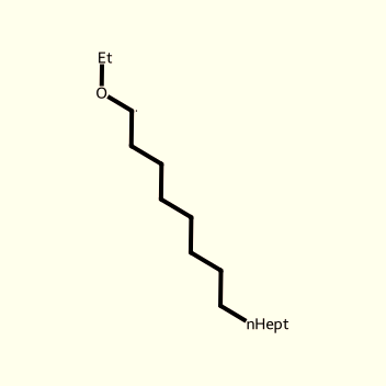 CCCCCCCCCCCCCC[CH]OCC